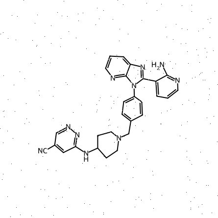 N#Cc1cnnc(NC2CCN(Cc3ccc(-n4c(-c5cccnc5N)nc5cccnc54)cc3)CC2)c1